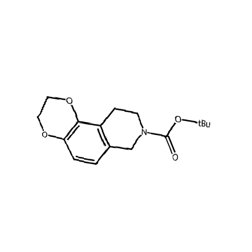 CC(C)(C)OC(=O)N1CCc2c(ccc3c2OCCO3)C1